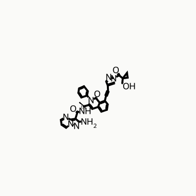 C[C@H](NC(=O)c1c(N)nn2cccnc12)c1cc2cccc(C#Cc3cnn(C(=O)C4(CO)CC4)c3)c2c(=O)n1-c1ccccc1